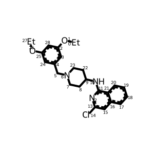 CCOc1cc(CN2CCC(Nc3nc(Cl)cc4ccccc34)CC2)cc(OCC)c1